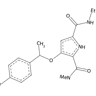 CCNC(=O)c1cc(OC(C)c2ccc(Cl)cc2)c(C(=O)NC)[nH]1